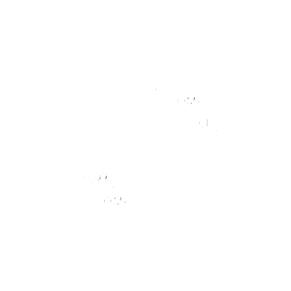 C=CCCCCCCCC(=O)OC.CCCCCCCC/C=C\CCCCCCCC(=O)OC